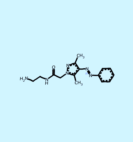 Cc1nn(CC(=O)NCCN)c(C)c1/N=N/c1ccccc1